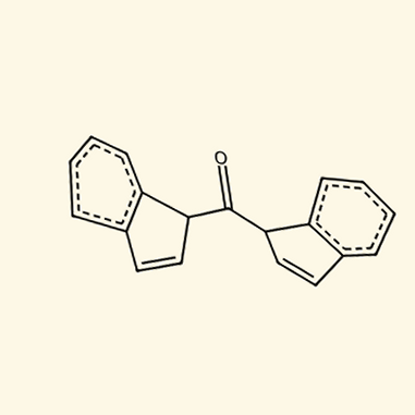 O=C(C1C=Cc2ccccc21)C1C=Cc2ccccc21